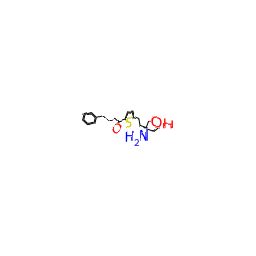 CCC(N)(CO)CCc1ccc(C(=O)CCCc2ccccc2)s1